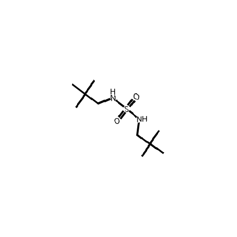 CC(C)(C)CNS(=O)(=O)NCC(C)(C)C